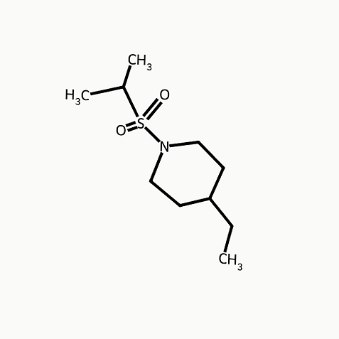 CCC1CCN(S(=O)(=O)C(C)C)CC1